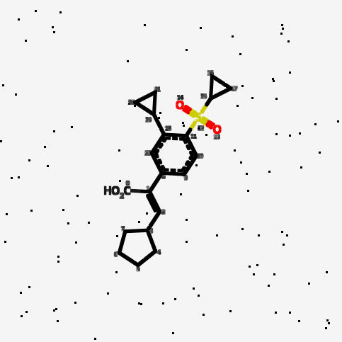 O=C(O)C(=CC1CCCC1)c1ccc(S(=O)(=O)C2CC2)c(C2CC2)c1